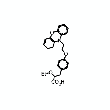 CCO[C@@H](Cc1ccc(OCCN2C3=C(C=CCC3)Oc3ccccc32)cc1)C(=O)O